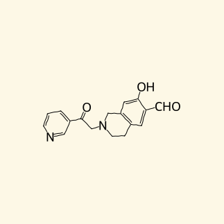 O=Cc1cc2c(cc1O)CN(CC(=O)c1cccnc1)CC2